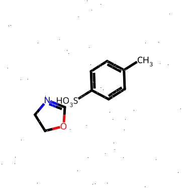 C1=NCCO1.Cc1ccc(S(=O)(=O)O)cc1